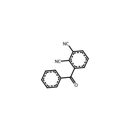 N#Cc1cccc(C(=O)c2ccccc2)c1C#N